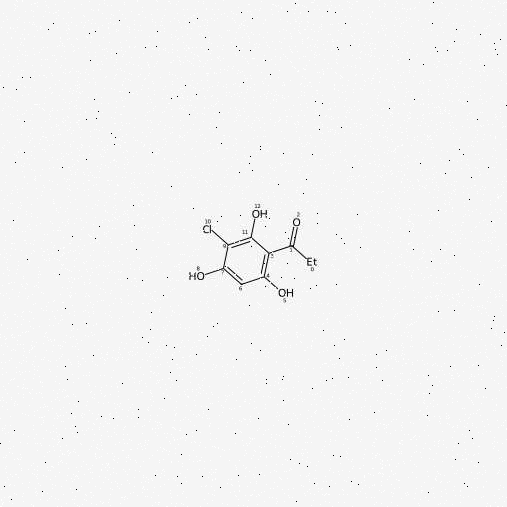 CCC(=O)c1c(O)cc(O)c(Cl)c1O